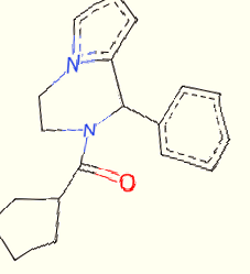 O=C(C1CCCC1)N1CCn2cccc2C1c1ccccc1